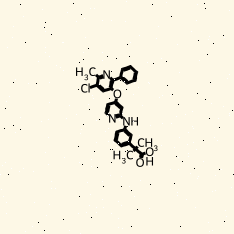 Cc1nc(-c2ccccc2)c(Oc2ccnc(Nc3cccc(C(C)(C)C(=O)O)c3)c2)cc1Cl